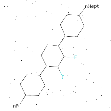 CCCCCCCC1CCC(C2CCC(C3CCC(CCC)CC3)C(F)C2F)CC1